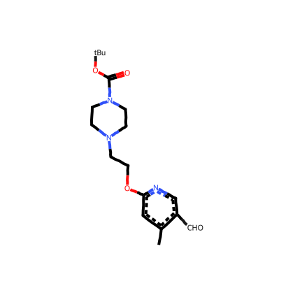 Cc1cc(OCCN2CCN(C(=O)OC(C)(C)C)CC2)ncc1C=O